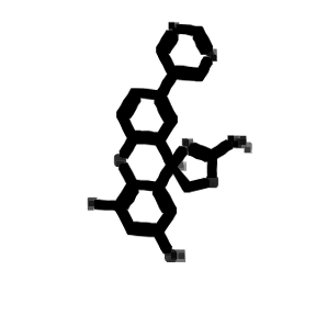 NC1=N[C@@]2(CO1)c1cc(-c3cncnc3)ccc1Oc1c(F)cc(O)cc12